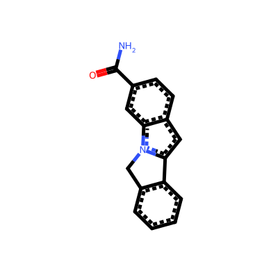 NC(=O)c1ccc2cc3n(c2c1)Cc1ccccc1-3